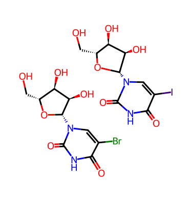 O=c1[nH]c(=O)n([C@@H]2O[C@H](CO)[C@@H](O)[C@H]2O)cc1Br.O=c1[nH]c(=O)n([C@@H]2O[C@H](CO)[C@@H](O)[C@H]2O)cc1I